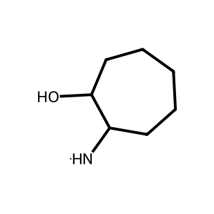 [NH]C1CCCCCC1O